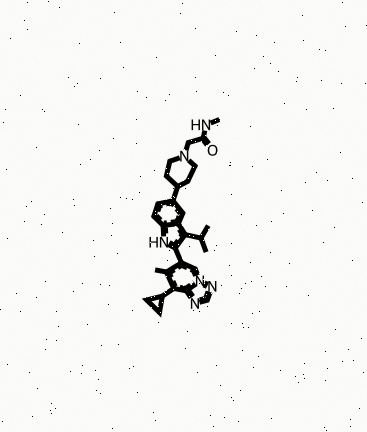 CNC(=O)CN1CCC(c2ccc3[nH]c(-c4cn5ncnc5c(C5CC5)c4C)c(C(C)C)c3c2)CC1